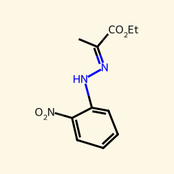 CCOC(=O)C(C)=NNc1ccccc1[N+](=O)[O-]